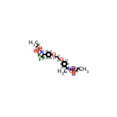 CCCS(=O)(=O)O/N=C(/c1ccc(OCCCOc2ccc(C(C)NOS(=O)(=O)CCC)cc2)cc1)C(F)(F)F